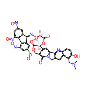 CC[C@@]1(OC(=O)[C@H](C)ON=C2c3cc(N=O)cc(N=O)c3-c3c(N=O)cc(N=O)cc32)C(=O)OCc2c1cc1n(c2=O)Cc2cc3c(CN(C)C)c(O)ccc3nc2-1